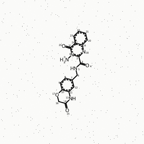 Nn1c(C(=O)NCc2ccc3c(c2)NC(=O)CO3)nc2ccccc2c1=O